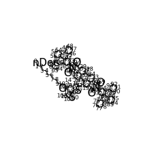 CCCCCCCCCCCCCCCCCCCCOc1c(C)c2cc(-c3cc4c5c(ccc6c7c(C)cc8c9c(ccc(c3c56)c97)C(=O)N(c3cc(-c5ccccc5)c(-c5ccccc5)c(-c5ccccc5)c3)C8=O)C(=O)N(c3cc(-c5ccccc5)c(-c5ccccc5)c(-c5ccccc5)c3)C4=O)sc2c2scc(C)c12